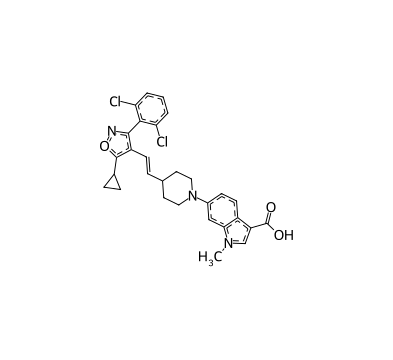 Cn1cc(C(=O)O)c2ccc(N3CCC(C=Cc4c(-c5c(Cl)cccc5Cl)noc4C4CC4)CC3)cc21